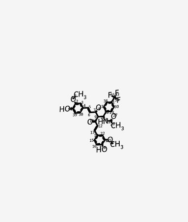 COc1cc(C=CC(=O)C(C(=O)C=Cc2ccc(O)c(OC)c2)C(NC(C)=O)c2ccc(C(F)(F)F)cc2)ccc1O